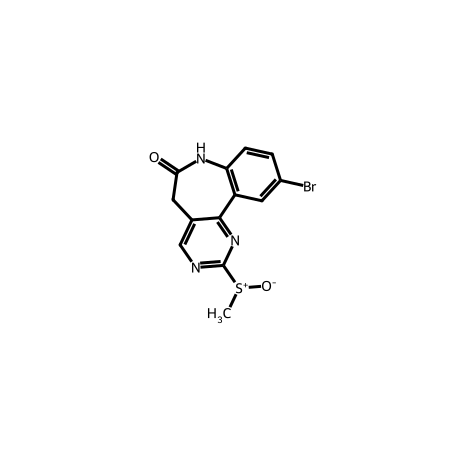 C[S+]([O-])c1ncc2c(n1)-c1cc(Br)ccc1NC(=O)C2